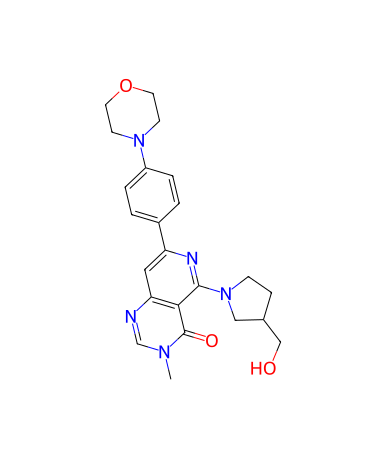 Cn1cnc2cc(-c3ccc(N4CCOCC4)cc3)nc(N3CCC(CO)C3)c2c1=O